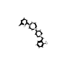 Cc1cccc(N2CCCN(C3CCN(Cc4ccccc4Cl)CC3)CC2)n1